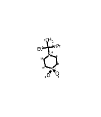 CCCC(C)(CC)N1CCS(=O)(=O)CC1